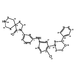 O=C1N(c2cncc(Nc3ncc(Cl)c(N4CCOC(c5ccccc5)C4)n3)c2)CCC12CCNCC2